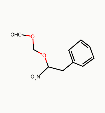 O=COCOC(Cc1ccccc1)[N+](=O)[O-]